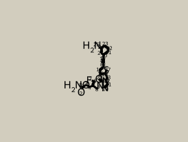 NC(=O)OCC(=CF)Cn1ncn(Cc2ccc(C#Cc3cccc(N)c3)s2)c1=O